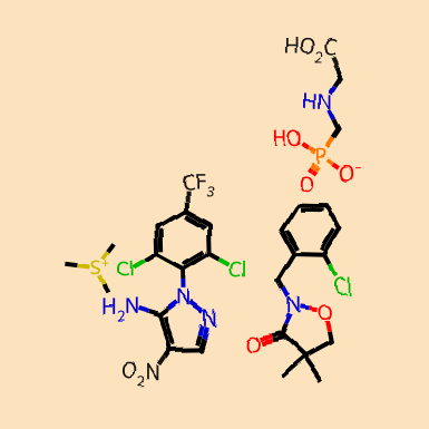 CC1(C)CON(Cc2ccccc2Cl)C1=O.C[S+](C)C.Nc1c([N+](=O)[O-])cnn1-c1c(Cl)cc(C(F)(F)F)cc1Cl.O=C(O)CNCP(=O)([O-])O